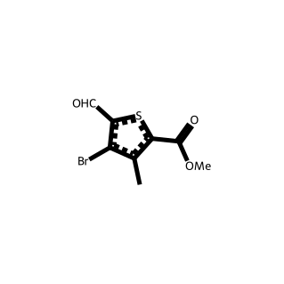 COC(=O)c1sc(C=O)c(Br)c1C